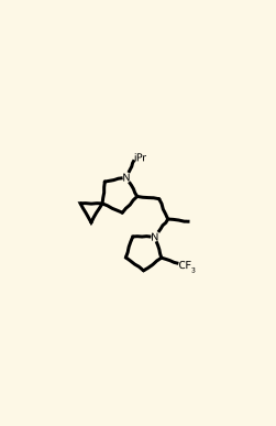 CC(C)N1CC2(CC2)CC1CC(C)N1CCCC1C(F)(F)F